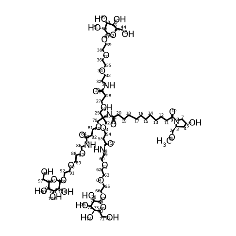 COC[C@@H]1C[C@@H](O)CN1C(=O)CCCCCCCCCCC(=O)NC(COCCC(=O)NCCOCCOCCO[C@H]1OC(CO)[C@@H](O)C(O)[C@H]1O)(COCCC(=O)NCCOCCOCCO[C@H]1OC(CO)[C@@H](O)C(O)[C@H]1O)COCCC(=O)NCOCCOCCO[C@H]1OC(CO)[C@@H](O)C(O)[C@H]1O